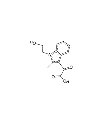 Cc1c(C(=O)C(=O)O)c2ccccc2n1CCO